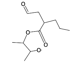 CCCC(CC=O)C(=O)OC(C)C(C)[O]